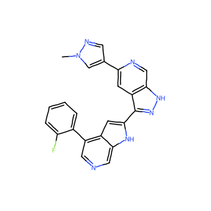 Cn1cc(-c2cc3c(-c4cc5c(-c6ccccc6F)cncc5[nH]4)n[nH]c3cn2)cn1